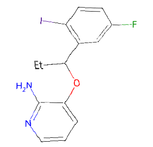 CCC(Oc1cccnc1N)c1cc(F)ccc1I